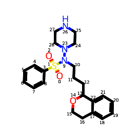 O=S(=O)(c1ccccc1)N(CCCC1OCCc2ccccc21)N1CCNCC1